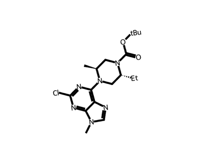 CC[C@@H]1CN(c2nc(Cl)nc3c2ncn3C)[C@@H](C)CN1C(=O)OC(C)(C)C